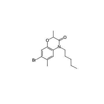 CCCCCN1C(=O)C(C)Oc2cc(Br)c(C)cc21